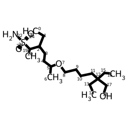 CCC(CCC(C)OCCCCC(CC)(CC)CO)C(C)S(N)(=O)=O